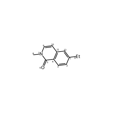 CCc1ccc2c(=O)n(C)ccc2c1